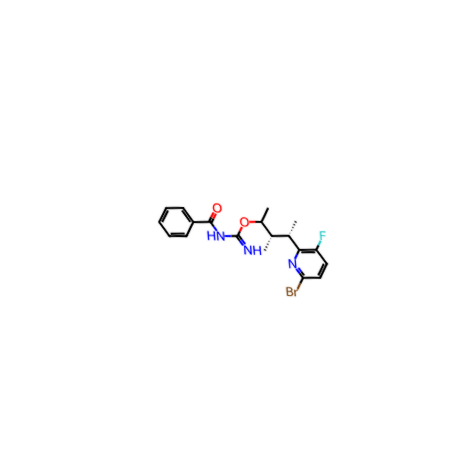 CC(OC(=N)NC(=O)c1ccccc1)[C@@H](C)[C@H](C)c1nc(Br)ccc1F